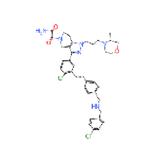 C[C@H]1COCCN1CCCn1nc(-c2ccc(Cl)c(CCc3ccc(CNCc4ccc(Cl)cc4)cc3)c2)c2c1CCN(C(=O)C(N)=O)C2